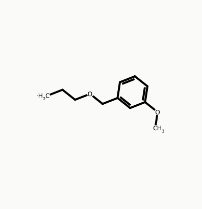 [CH2]CCOCc1cccc(OC)c1